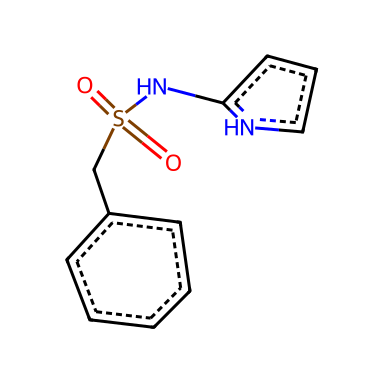 O=S(=O)(Cc1ccccc1)Nc1ccc[nH]1